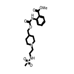 COC(=O)c1ccccc1NC(=O)OCC1CCN(CCNS(C)(=O)=O)CC1